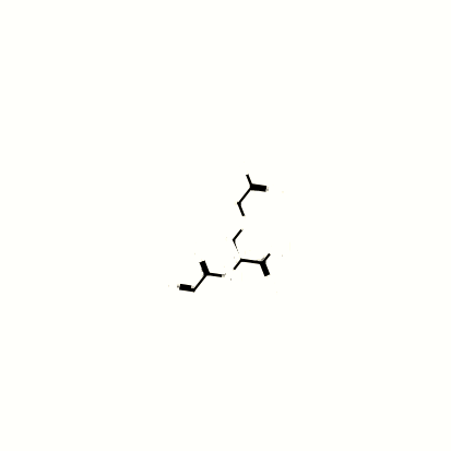 O=CC(=O)N[C@@H](CSCC(=O)O)C(=O)O